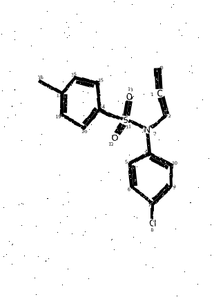 C=C=CN(c1ccc(Cl)cc1)S(=O)(=O)c1ccc(C)cc1